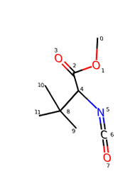 COC(=O)C(N=C=O)C(C)(C)C